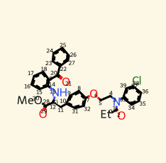 CCC(=O)N(CCOc1ccc(C[C@H](Nc2ccccc2C(=O)c2ccccc2)C(=O)OC)cc1)c1cccc(Cl)c1